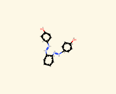 Oc1ccc(N=Nc2ccccc2N=Nc2ccc(O)cc2)cc1